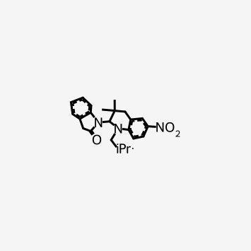 C[C](C)CN1c2ccc([N+](=O)[O-])cc2CC(C)(C)C1N1C(=O)Cc2ccccc21